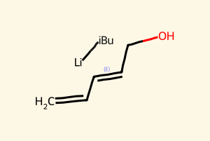 C=C/C=C/CO.[Li][CH](C)CC